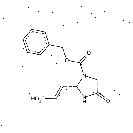 O=C(O)C=CC1NC(=O)CN1C(=O)OCc1ccccc1